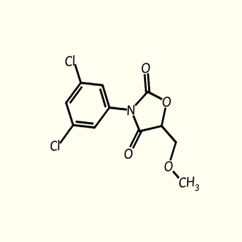 COCC1OC(=O)N(c2cc(Cl)cc(Cl)c2)C1=O